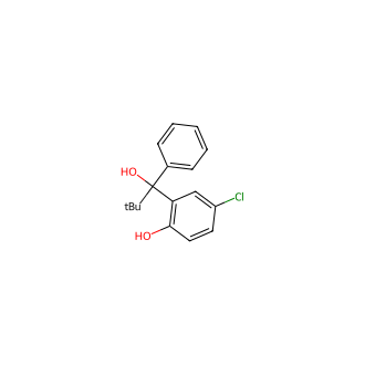 CC(C)(C)C(O)(c1ccccc1)c1cc(Cl)ccc1O